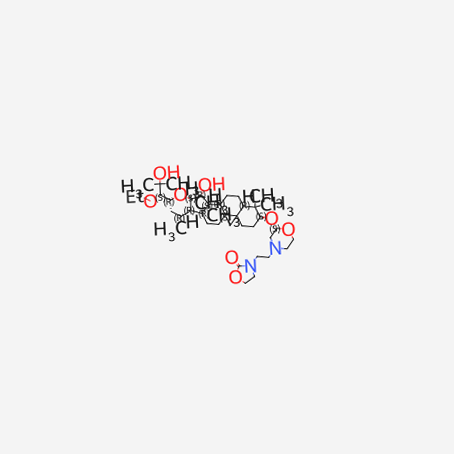 CCO[C@@H]([C@H]1C[C@@H](C)[C@H]2[C@H](O1)[C@H](O)[C@@]1(C)[C@@H]3CC[C@H]4C(C)(C)[C@@H](O[C@H]5CN(CCN6CCOC6=O)CCO5)CCC45C[C@@]35CC[C@]21C)C(C)(C)O